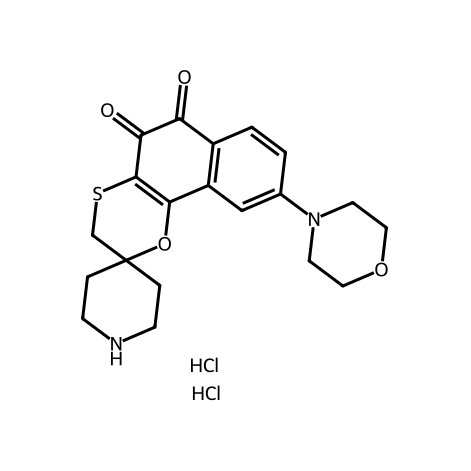 Cl.Cl.O=C1C(=O)c2ccc(N3CCOCC3)cc2C2=C1SCC1(CCNCC1)O2